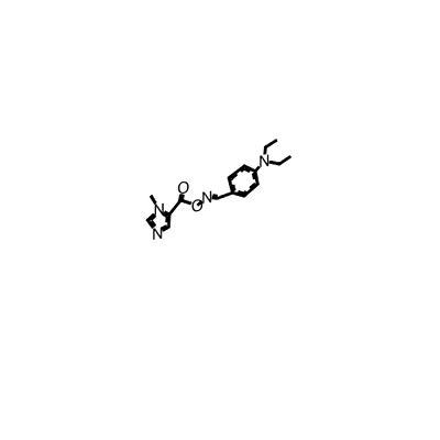 CCN(CC)c1ccc(C=NOC(=O)c2cncn2C)cc1